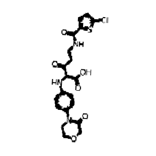 O=C(NCCC(=O)C(Nc1ccc(N2CCOCC2=O)cc1)C(=O)O)c1ccc(Cl)s1